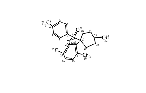 O=S(=O)(c1ccc(C(F)(F)F)cc1)[C@]1(c2cc(F)ccc2C(F)(F)F)CC[C@@H](O)CC1